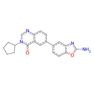 Nc1nc2cc(-c3ccc4ncn(C5CCCC5)c(=O)c4c3)ccc2o1